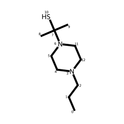 CCCN1CCN(C(C)(C)S)CC1